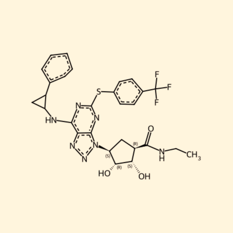 CCNC(=O)[C@@H]1C[C@H](n2nnc3c(NC4CC4c4ccccc4)nc(Sc4ccc(C(F)(F)F)cc4)nc32)[C@@H](O)[C@H]1O